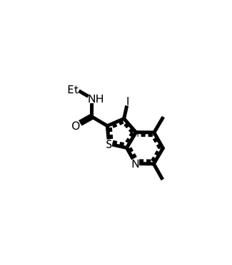 CCNC(=O)c1sc2nc(C)cc(C)c2c1I